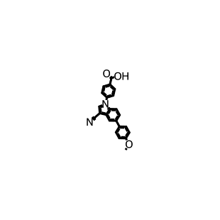 COc1ccc(-c2ccc3c(c2)c(C#N)cn3-c2ccc(C(=O)O)cc2)cc1